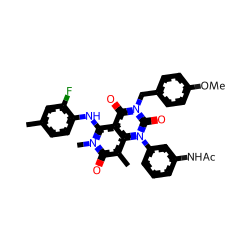 COc1ccc(Cn2c(=O)c3c(Nc4ccc(C)cc4F)n(C)c(=O)c(C)c3n(-c3cccc(NC(C)=O)c3)c2=O)cc1